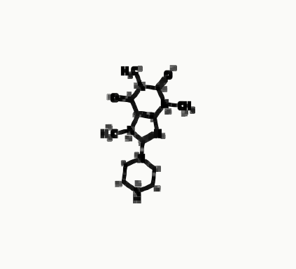 Cn1c(=O)c2c(nc(N3CCNCC3)n2C)n(C)c1=O